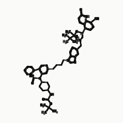 CC(C)(C)OC(=O)NC1CCC(N(C(=O)O)c2cc(CCCCn3cnc4cc(CNC[C@@H](O[Si](C)(C)C(C)(C)C)c5ccc(O)c6[nH]c(=O)ccc56)ccc43)ccc2-c2ccccc2)CC1